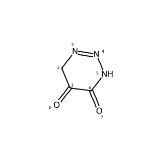 O=C1[CH]N=NNC1=O